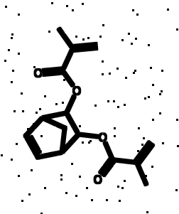 C=C(C)C(=O)OC1C2C=CC(C2)C1OC(=O)C(=C)C